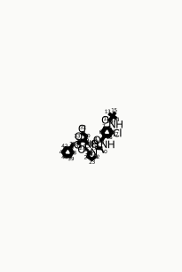 C[C@H](NC(=O)c1ccc(NC(=O)C(C)(C)C)c(Cl)c1)C(=O)N1CCC[C@H]1C(=O)NC1CC(=O)OC1OCc1ccccc1